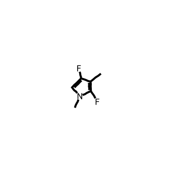 Cc1c(F)cn(C)c1F